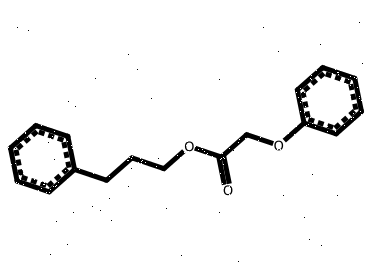 O=C(COc1ccccc1)OCCCc1ccccc1